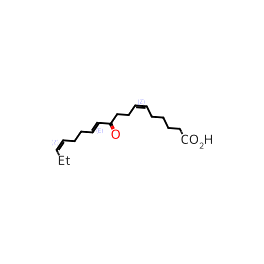 CC/C=C\CC/C=C/C(=O)CC/C=C\CCCCC(=O)O